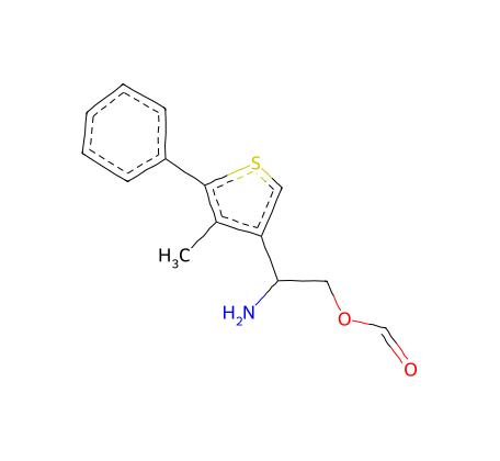 Cc1c(C(N)COC=O)csc1-c1ccccc1